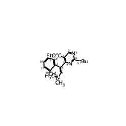 CCOC(=O)c1cnc(C(C)(C)C)nc1/C(=C/N(C)C)c1ccccc1C